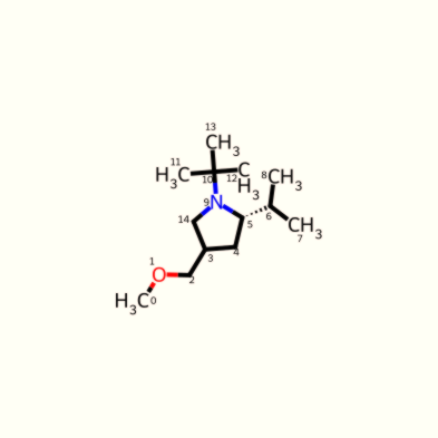 COCC1C[C@@H](C(C)C)N(C(C)(C)C)C1